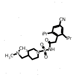 CC(C)c1cc(C#N)cc(C(C)C)c1CC(=O)NS(=O)(=O)N1CCC(CN(C)C)CC1